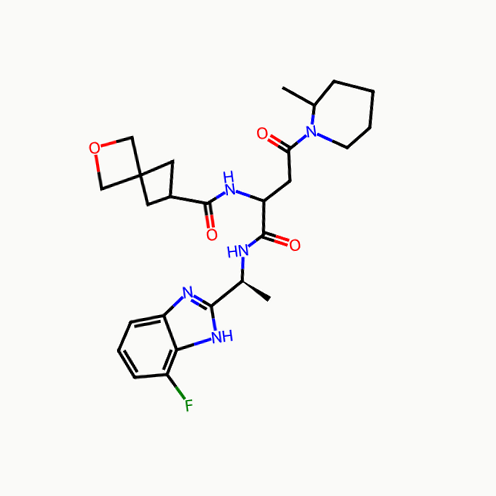 CC1CCCCN1C(=O)CC(NC(=O)C1CC2(COC2)C1)C(=O)N[C@@H](C)c1nc2cccc(F)c2[nH]1